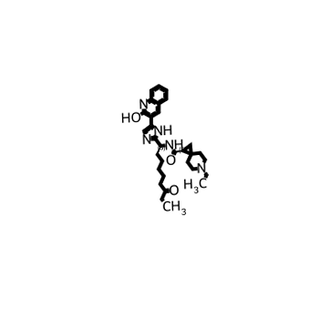 CCC(=O)CCCCC[C@H](NC(=O)[C@H]1CC12CCN(CC)CC2)c1ncc(-c2cc3ccccc3nc2O)[nH]1